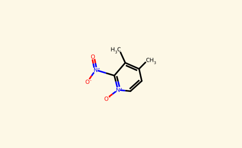 Cc1cc[n+]([O-])c([N+](=O)[O-])c1C